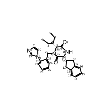 CCC(CC)[C@@H]1C(=O)N[C@H](C2Cc3ccccc3C2)C(=O)N1Cc1ccccc1-n1ccnc1